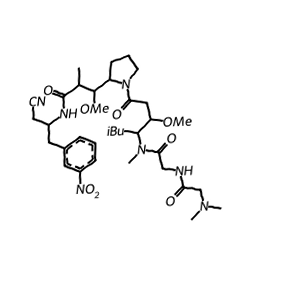 CCC(C)C(C(CC(=O)N1CCCC1C(OC)C(C)C(=O)NC(CC#N)Cc1cccc([N+](=O)[O-])c1)OC)N(C)C(=O)CNC(=O)CN(C)C